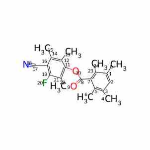 Cc1cc(C)c(C)c(C(=O)Oc2c(C)c(C)c(C#N)c(F)c2C)c1C